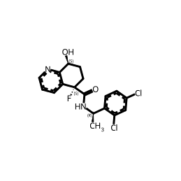 C[C@@H](NC(=O)[C@]1(F)CC[C@H](O)c2ncccc21)c1ccc(Cl)cc1Cl